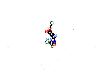 COc1cc(Nc2c(C#N)cnc3cc4cc(OCCCCl)c(OC)cc4cc23)c(Cl)cc1Cl